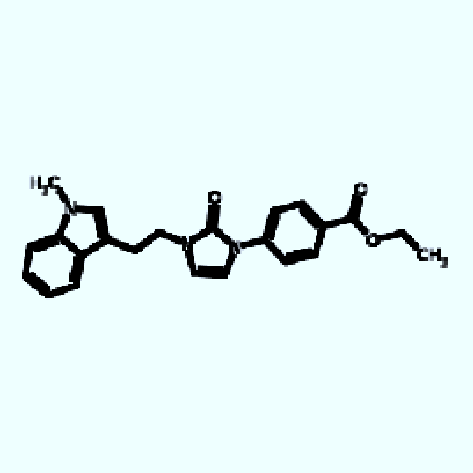 CCOC(=O)c1ccc(-n2ccn(CCc3cn(C)c4ccccc34)c2=O)cc1